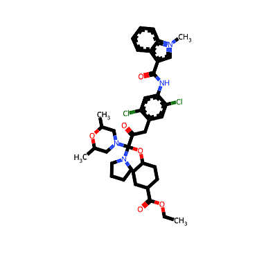 CCOC(=O)C1CCC(OC(C(=O)Cc2cc(Cl)c(NC(=O)c3cn(C)c4ccccc34)cc2Cl)(N2CCCC2)N2CC(C)OC(C)C2)CC1